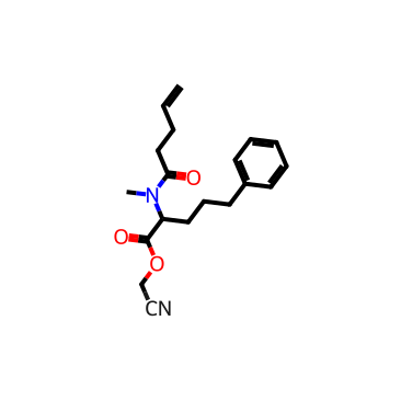 C=CCCC(=O)N(C)C(CCCc1ccccc1)C(=O)OCC#N